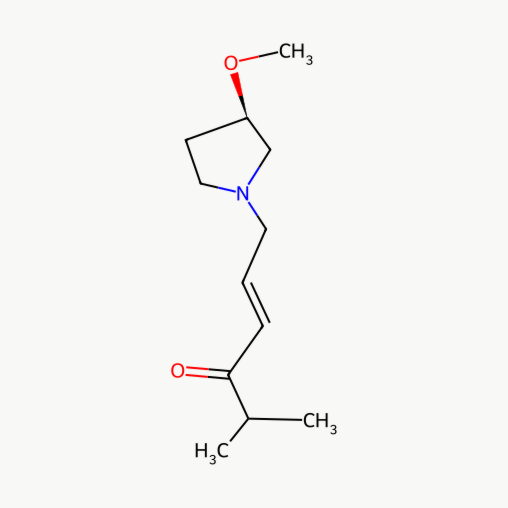 CO[C@@H]1CCN(C/C=C/C(=O)C(C)C)C1